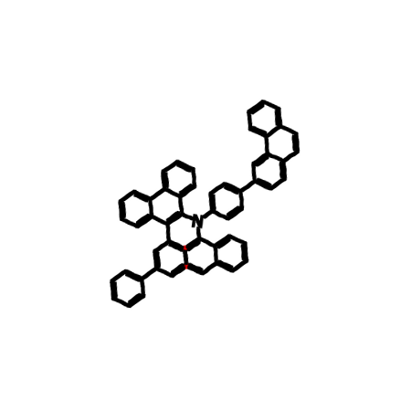 c1ccc(-c2cccc(-c3c(N(c4ccc(-c5ccc6ccc7ccccc7c6c5)cc4)c4cccc5ccccc45)c4ccccc4c4ccccc34)c2)cc1